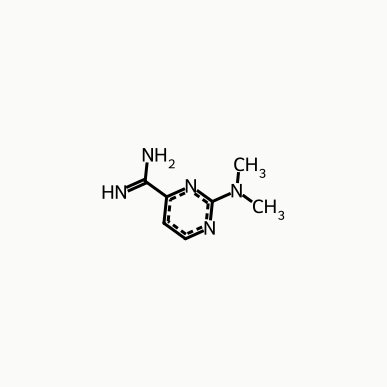 CN(C)c1nccc(C(=N)N)n1